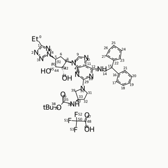 CCc1nnn([C@H]2C[C@@H](n3cnc4c(NCC(c5ccccc5)c5ccccc5)nc(N5CC[C@@H](NC(=O)OC(C)(C)C)C5)nc43)[C@H](O)[C@@H]2O)n1.O=C(O)C(F)(F)F